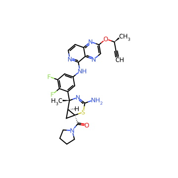 C#C[C@H](C)Oc1cnc2c(Nc3cc(F)c(F)c([C@]4(C)N=C(N)S[C@@]5(C(=O)N6CCCC6)C[C@@H]45)c3)nccc2n1